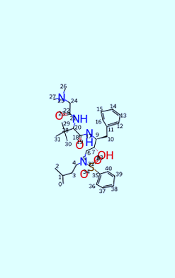 CC(C)CCN(C[C@@H](O)[C@H](Cc1ccccc1)NC(=O)C(NC(=O)CN(C)C)C(C)(C)C)S(=O)(=O)c1ccccc1